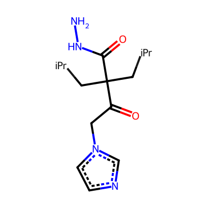 CC(C)CC(CC(C)C)(C(=O)Cn1ccnc1)C(=O)NN